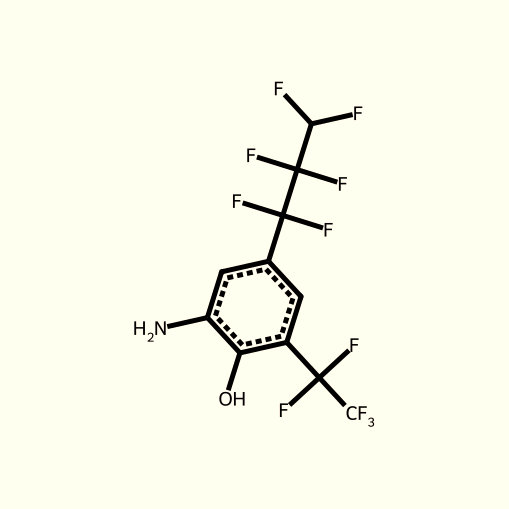 Nc1cc(C(F)(F)C(F)(F)C(F)F)cc(C(F)(F)C(F)(F)F)c1O